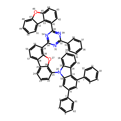 c1ccc(-c2cc(-c3ccccc3)c3c4ccccc4n(-c4cccc5c4oc4c(-c6nc(-c7ccccc7)nc(-c7cccc8oc9ccccc9c78)n6)cccc45)c3c2)cc1